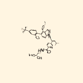 CCOc1c(-c2ccc(C(F)(F)F)cc2Cl)ccc2c1cnn2C(CC(C)C)c1ccc(C(=O)NCCC(O)O)nc1